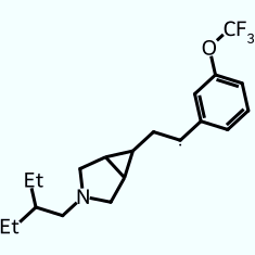 CCC(CC)CN1CC2C(C[CH]c3cccc(OC(F)(F)F)c3)C2C1